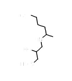 CCCCCCCCCCCC(C)NCC(O)CS(=O)(=O)O